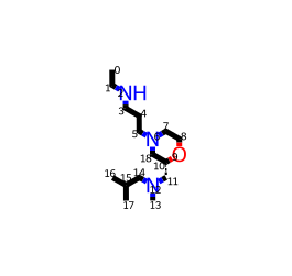 CCNCCCN1CCO[C@H](CN(C)CC(C)C)C1